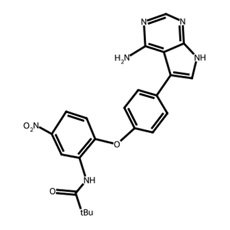 CC(C)(C)C(=O)Nc1cc([N+](=O)[O-])ccc1Oc1ccc(-c2c[nH]c3ncnc(N)c23)cc1